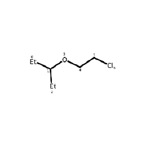 CCC(CC)OCCCl